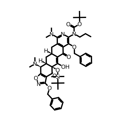 CCCN(C(=O)OC(C)(C)C)c1nc(N(C)C)c2c(c1OCc1ccccc1)C(=O)C1=C(O)[C@]3(O[Si](C)(C)C(C)(C)C)C(=O)c4c(OCc5ccccc5)noc4[C@@H](N(C)C)[C@@H]3C[C@@H]1C2